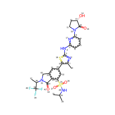 Cc1nc(Nc2cccc(N3CC[C@H](O)C3=O)n2)sc1-c1cc2c(c(S(=O)(=O)NC(C)C)c1)C(=O)N(C(C)C(F)(F)F)C2